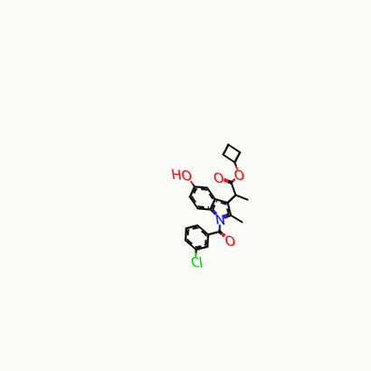 Cc1c(C(C)C(=O)OC2CCC2)c2cc(O)ccc2n1C(=O)c1cccc(Cl)c1